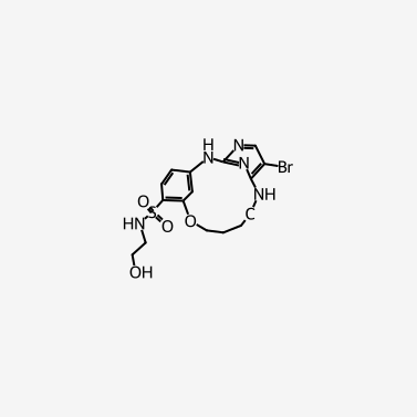 O=S(=O)(NCCO)c1ccc2cc1OCCCCNc1nc(ncc1Br)N2